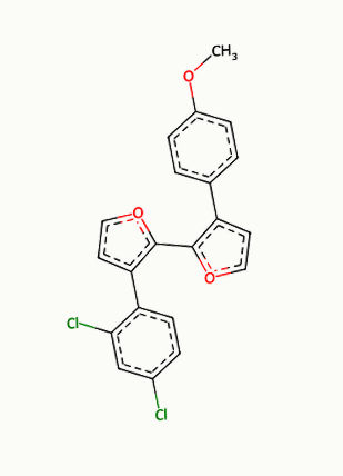 COc1ccc(-c2ccoc2-c2occc2-c2ccc(Cl)cc2Cl)cc1